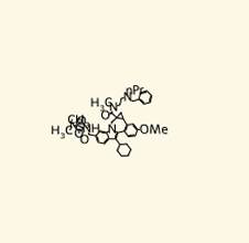 CCCN(CCN(C)C(=O)C12CC1c1cc(OC)ccc1-c1c(C3CCCCC3)c3ccc(C(=O)NS(=O)(=O)N(C)C)cc3n1C2)Cc1ccccc1